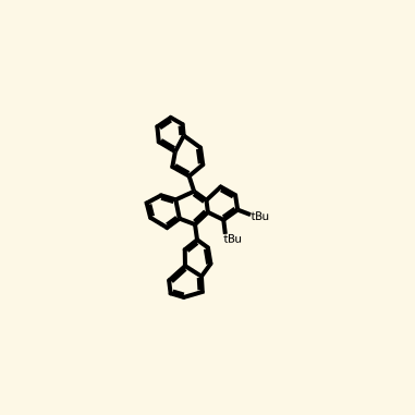 CC(C)(C)c1ccc2c(-c3ccc4ccccc4c3)c3ccccc3c(-c3ccc4ccccc4c3)c2c1C(C)(C)C